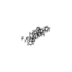 O=C(NC(c1ccccc1)C(F)(F)F)N1CC[C@@](O)(Cn2ccc(-c3ccccc3)cc2=O)C2(CCCC2)C1